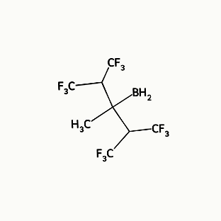 BC(C)(C(C(F)(F)F)C(F)(F)F)C(C(F)(F)F)C(F)(F)F